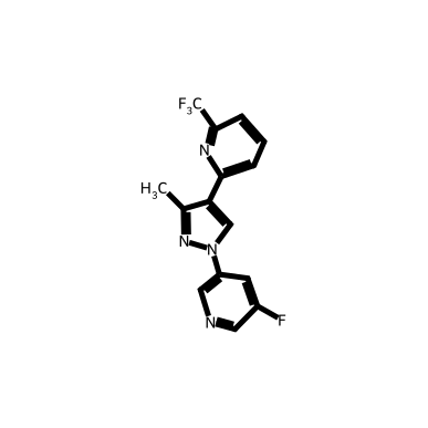 Cc1nn(-c2cncc(F)c2)cc1-c1cccc(C(F)(F)F)n1